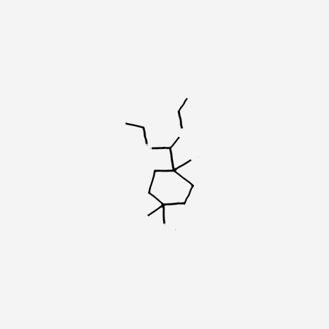 CCOC(OCC)C1(O)CCC(C)(C)CC1